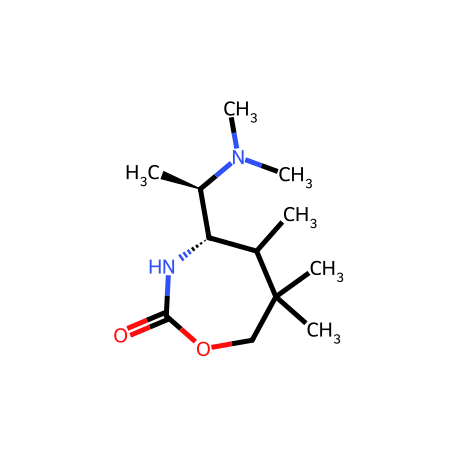 CC1[C@@H]([C@@H](C)N(C)C)NC(=O)OCC1(C)C